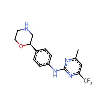 Cc1cc(C(F)(F)F)nc(Nc2ccc([C@@H]3CNCCO3)cc2)n1